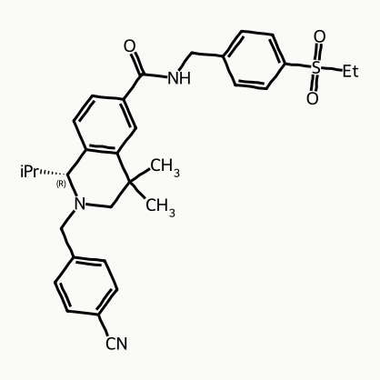 CCS(=O)(=O)c1ccc(CNC(=O)c2ccc3c(c2)C(C)(C)CN(Cc2ccc(C#N)cc2)[C@@H]3C(C)C)cc1